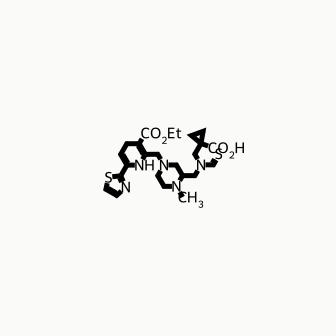 CCOC(=O)C1=C(CN2CCN(C)C(CN(C=S)CC3(C(=O)O)CC3)C2)NC(c2nccs2)=CC1